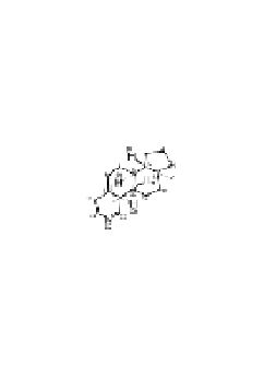 C[C@@]12CCC[C@H]1[C@@H]1CC=C3C=CN=C[C@@H]3[C@H]1CC2